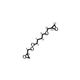 C(CCOOCC1CO1)COCC1CO1